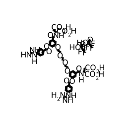 N=C(N)Nc1ccc(C(=O)Oc2cc(OCCOCCOCCOc3cc(OC(=O)c4ccc(NC(=N)N)cc4)cc(C(=O)NC(CC(=O)O)C(=O)O)c3)cc(C(=O)NC(CC(=O)O)C(=O)O)c2)cc1.O=C(O)C(F)(F)F.O=C(O)C(F)(F)F